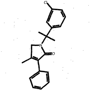 CC1=C(c2ccccc2)C(=O)N(C(C)(C)c2cccc(Cl)c2)C1